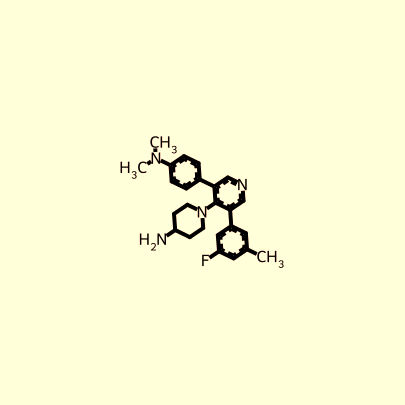 Cc1cc(F)cc(-c2cncc(-c3ccc(N(C)C)cc3)c2N2CCC(N)CC2)c1